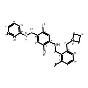 Fc1cc(NCc2c(F)cccc2CN2CCC2)c(Cl)cc1SNc1cccnn1